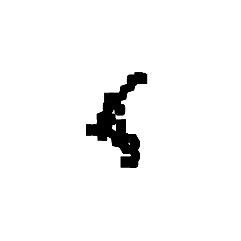 CCOCCCNC(=O)Oc1cc2[nH]nc(-c3cc4cc(CO)ccc4[nH]3)c2s1